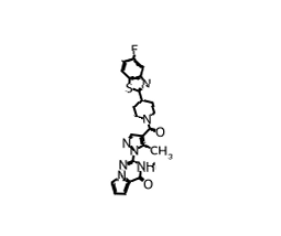 Cc1c(C(=O)N2CCC(c3nc4cc(F)ccc4s3)CC2)cnn1-c1nn2cccc2c(=O)[nH]1